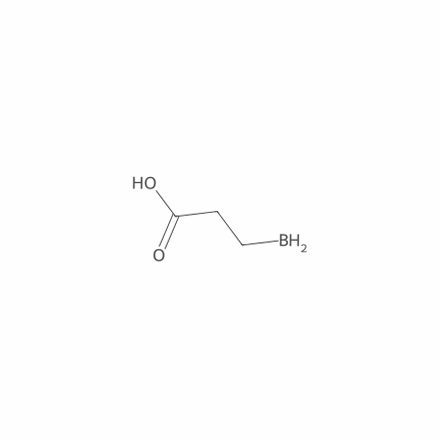 BCCC(=O)O